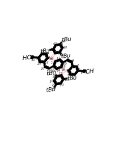 C#Cc1ccc2c(c1)C=Cc1cc3c(cc1B2c1c(C(C)(C)C)cc(C(C)(C)C)cc1C(C)(C)C)C=Cc1cc(C#C)ccc1B3c1c(C(C)(C)C)cc(C(C)(C)C)cc1C(C)(C)C